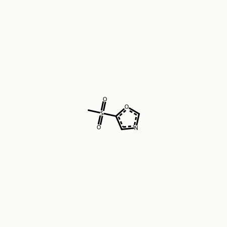 CS(=O)(=O)c1cnco1